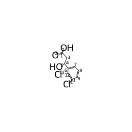 O=C(O)CC(O)c1cccc(Cl)c1Cl